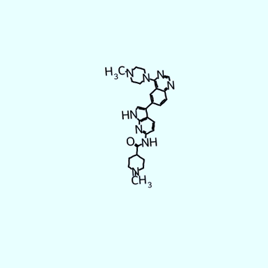 CN1CCC(C(=O)Nc2ccc3c(-c4ccc5ncnc(N6CCN(C)CC6)c5c4)c[nH]c3n2)CC1